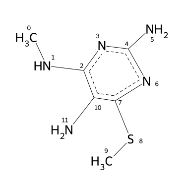 CNc1nc(N)nc(SC)c1N